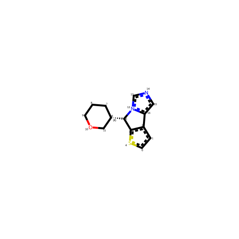 c1cc2c(s1)C([C@H]1CCCOC1)n1cncc1-2